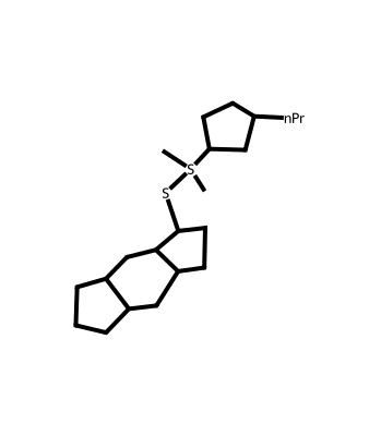 CCCC1CCC(S(C)(C)SC2CCC3CC4CCCC4CC32)C1